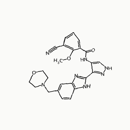 COc1c(C#N)cccc1C(=O)Nc1c[nH]nc1-c1nc2cc(CN3CCOCC3)ccc2[nH]1